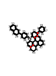 Cc1cc(-c2ccccc2N(c2ccc(-c3ccccc3)cc2)c2ccc(-c3ccc4ccccc4c3)cc2)c2c(C3CCCCC3)cccc2c1